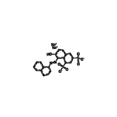 O=S(=O)([O-])c1cc(S(=O)(=O)[O-])c2c(/N=N/c3cccc4ccccc34)c(O)ccc2c1.[Na+].[Na+]